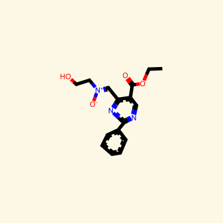 CCOC(=O)c1cnc(-c2ccccc2)nc1C=[N+]([O-])CCO